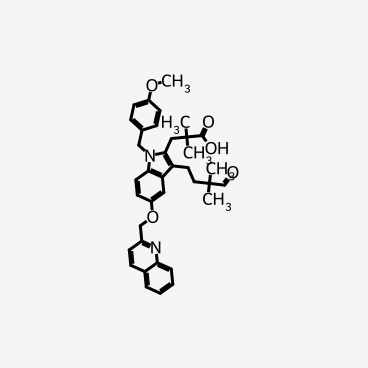 COc1ccc(Cn2c(CC(C)(C)C(=O)O)c(CCC(C)(C)C=O)c3cc(OCc4ccc5ccccc5n4)ccc32)cc1